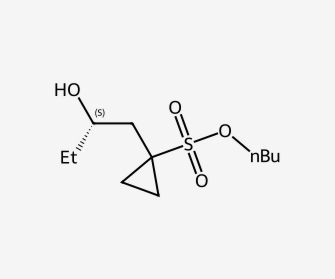 CCCCOS(=O)(=O)C1(C[C@@H](O)CC)CC1